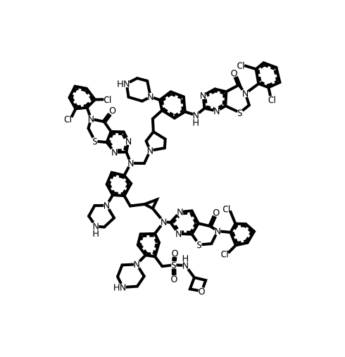 O=C1c2cnc(Nc3ccc(N4CCNCC4)c(CC4CCN(CN(c5ccc(N6CCNCC6)c(CC6CC6N(c6ccc(N7CCNCC7)c(CS(=O)(=O)NC7COC7)c6)c6ncc7c(n6)SCN(c6c(Cl)cccc6Cl)C7=O)c5)c5ncc6c(n5)SCN(c5c(Cl)cccc5Cl)C6=O)C4)c3)nc2SCN1c1c(Cl)cccc1Cl